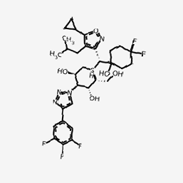 CC(C)Cc1c([C@@H]([SH]2C[C@H](O)[C@H](n3cc(-c4cc(F)c(F)c(F)c4)nn3)[C@@H](O)[C@H]2CO)C2(O)CCC(F)(F)CC2)noc1C1CC1